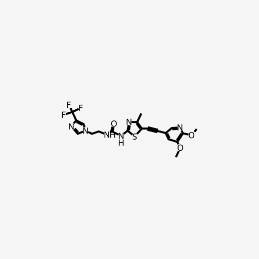 COc1cc(C#Cc2sc(NC(=O)NCCn3cnc(C(F)(F)F)c3)nc2C)cnc1OC